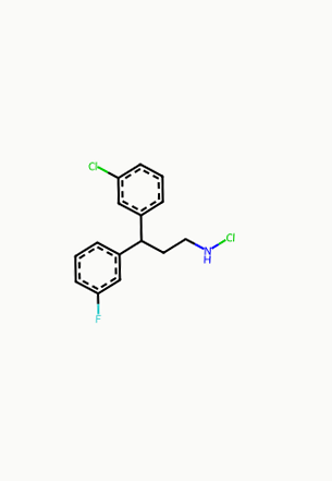 Fc1cccc(C(CCNCl)c2cccc(Cl)c2)c1